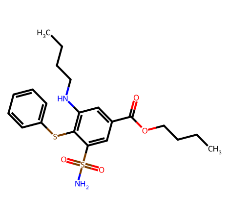 CCCCNc1cc(C(=O)OCCCC)cc(S(N)(=O)=O)c1Sc1ccccc1